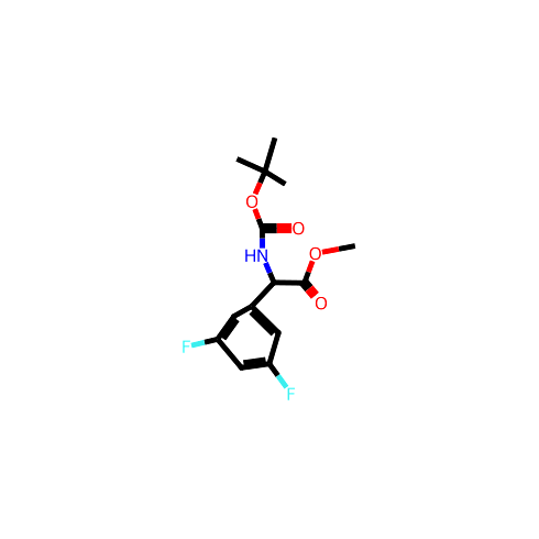 COC(=O)C(NC(=O)OC(C)(C)C)c1cc(F)cc(F)c1